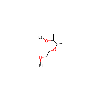 CCOCCOC(C)C(C)OCC